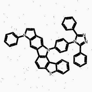 c1ccc(-c2nnc(-c3ccccc3)n2-c2ccc(-n3c4cc5ccn(-c6ccccc6)c5cc4c4ccc5sc6ccccc6c5c43)cc2)cc1